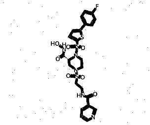 O=C(NCCS(=O)(=O)N1CCN(S(=O)(=O)c2ccc(-c3ccc(F)cc3)s2)[C@@H](C(=O)NO)C1)c1cccnc1